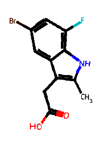 Cc1[nH]c2c(F)cc(Br)cc2c1CC(=O)O